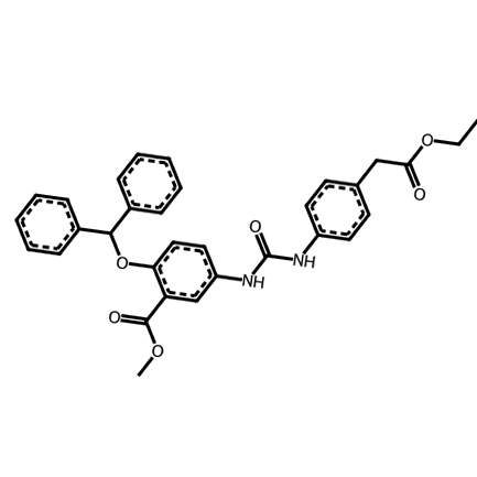 CCOC(=O)Cc1ccc(NC(=O)Nc2ccc(OC(c3ccccc3)c3ccccc3)c(C(=O)OC)c2)cc1